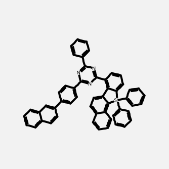 c1ccc(-c2nc(-c3ccc(-c4ccc5ccccc5c4)cc3)nc(-c3cccc4c3-c3ccc5ccccc5c3[Si]4(c3ccccc3)c3ccccc3)n2)cc1